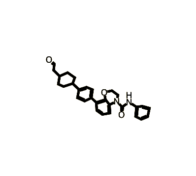 O=CCC1CCC(c2ccc(-c3cccc4c3OCCN4C(=O)Nc3ccccc3)cc2)CC1